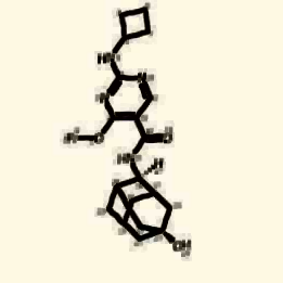 CC(C)Oc1nc(NC2CCC2)ncc1C(=O)N[C@H]1C2CC3CC1C[C@@](O)(C3)C2